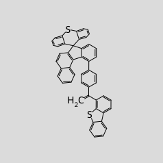 C=C(c1ccc(-c2cccc3c2-c2c(ccc4ccccc24)C32c3ccccc3Sc3ccccc32)cc1)c1cccc2c1sc1ccccc12